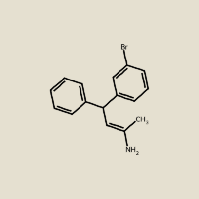 C/C(N)=C\C(c1ccccc1)c1cccc(Br)c1